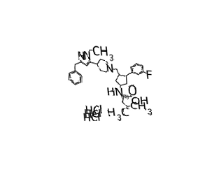 CCn1nc(Cc2ccccc2)cc1C1CCN(CC2CC(N[C@H](CC(C)C)C(=O)O)CC2c2cccc(F)c2)CC1.Cl.Cl.Cl